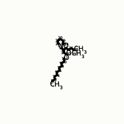 CCCCCCCCCCCCOC1C=C(CN2CCCCC2)C(=O)C(CC(C)C)O1